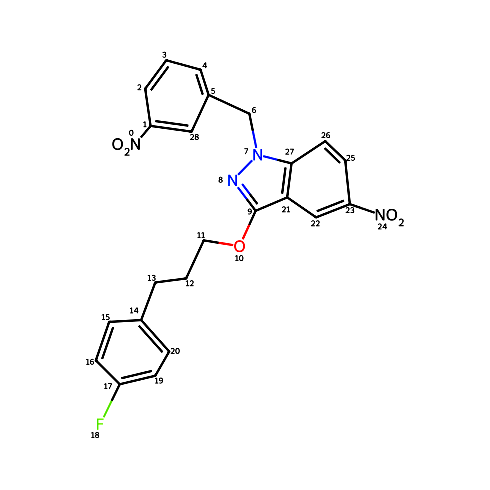 O=[N+]([O-])c1cccc(Cn2nc(OCCCc3ccc(F)cc3)c3cc([N+](=O)[O-])ccc32)c1